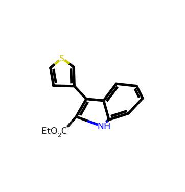 CCOC(=O)c1[nH]c2ccccc2c1-c1ccsc1